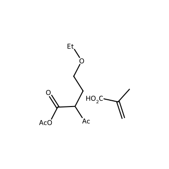 C=C(C)C(=O)O.CCOCCC(C(C)=O)C(=O)OC(C)=O